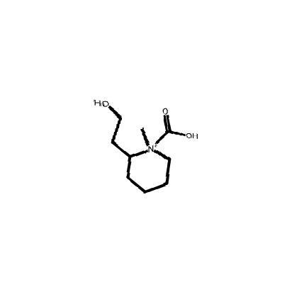 C[N+]1(C(=O)O)CCCCC1CCO